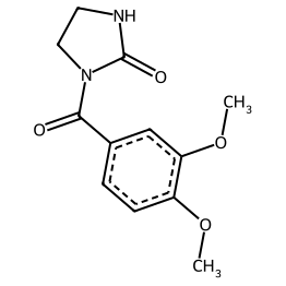 COc1ccc(C(=O)N2CCNC2=O)cc1OC